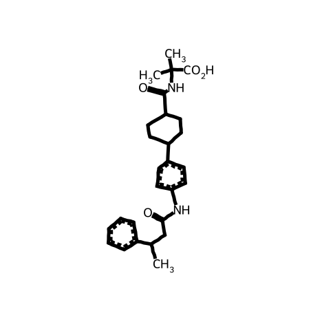 CC(CC(=O)Nc1ccc(C2CCC(C(=O)NC(C)(C)C(=O)O)CC2)cc1)c1ccccc1